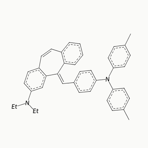 CCN(CC)c1ccc2c(c1)C(=Cc1ccc(N(c3ccc(C)cc3)c3ccc(C)cc3)cc1)c1ccccc1C=C2